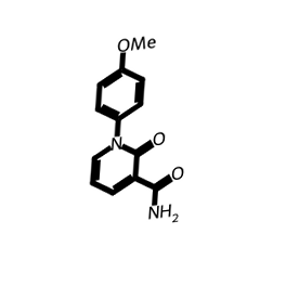 COc1ccc(-n2cccc(C(N)=O)c2=O)cc1